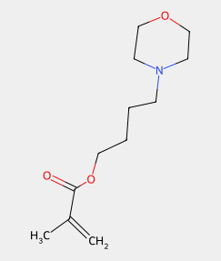 C=C(C)C(=O)OCCCCN1CCOCC1